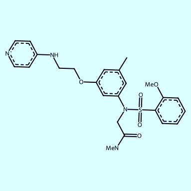 CNC(=O)CN(c1cc(C)cc(OCCNc2ccncc2)c1)S(=O)(=O)c1ccccc1OC